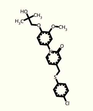 COc1cc(-n2ccc(CSc3ccc(Cl)cc3)cc2=O)ccc1OCC(C)(C)O